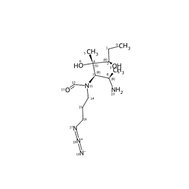 CC[C@@H](O)[C@@](C)(O)[C@@H]([C@@H](C)N)N(C=O)CCCN=[N+]=[N-]